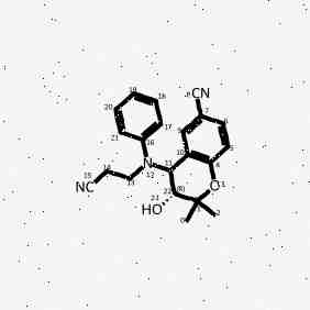 CC1(C)Oc2ccc(C#N)cc2C(N(CCC#N)c2ccccc2)[C@H]1O